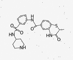 CC1Sc2ccc(C(=O)Nc3cccc(S(=O)(=O)NC4CCNCC4)c3)cc2NC1=O